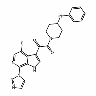 O=C(C(=O)N1CCC(Nc2ccccc2)CC1)c1c[nH]c2c(-n3ccnn3)ncc(F)c12